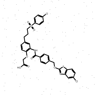 O=C(O)COc1ccc(CCCS(=O)(=O)c2ccc(Cl)cc2)cc1NC(=O)c1ccc(COc2nc3cc(Cl)ccc3s2)cc1